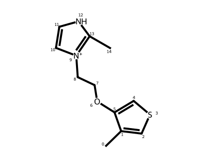 Cc1cscc1OCC[n+]1cc[nH]c1C